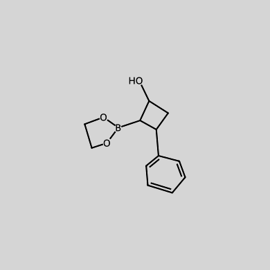 OC1CC(c2ccccc2)C1B1OCCO1